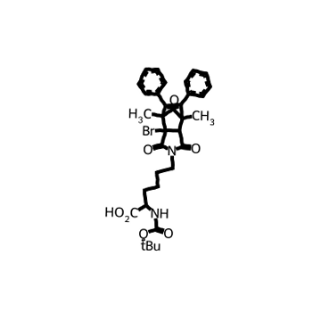 CC(C)(C)OC(=O)NC(CCCCN1C(=O)C2C3(C)C(=O)C(C)(C(c4ccccc4)=C3c3ccccc3)C2(Br)C1=O)C(=O)O